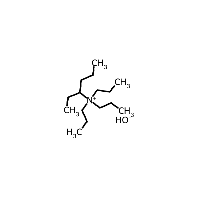 CCCC(CC)[N+](CCC)(CCC)CCC.[OH-]